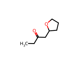 CCC(=O)CC1CCCO1